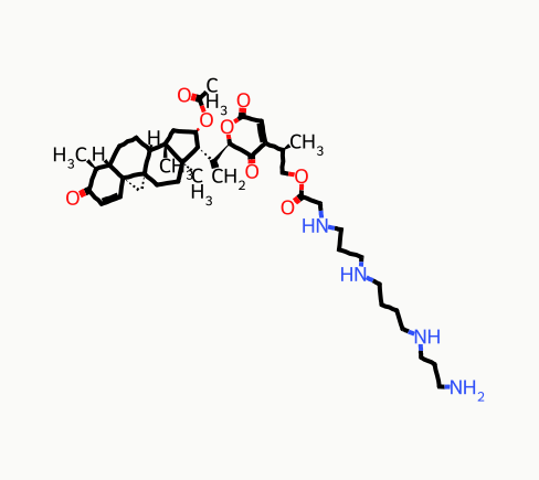 C=C([C@H]1OC(=O)C=C([C@@H](C)COC(=O)CNCCCNCCCCNCCCN)C1=O)[C@H]1[C@@H](OC(C)=O)C[C@@]2(C)[C@@H]3CC[C@H]4[C@H](C)C(=O)C=C[C@@]45C[C@@]35CC[C@]12C